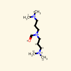 CN(C)CCCN(C=O)CCCN(C)C